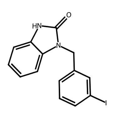 O=c1[nH]c2ccccc2n1Cc1cccc(I)c1